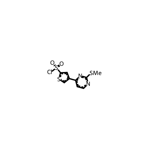 CSc1nccc(-c2csc(S(=O)(=O)Cl)c2)n1